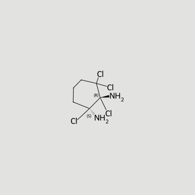 N[C@]1(Cl)CCCC(Cl)(Cl)[C@]1(N)Cl